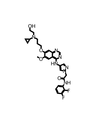 COc1cc2c(Nc3cnn(CC(=O)Nc4cccc(F)c4F)c3)ncnc2cc1OCCCN(CCO)C1CC1